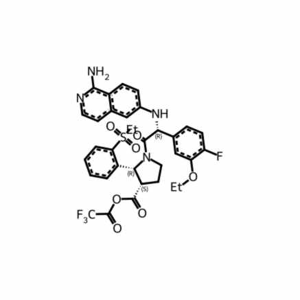 CCOc1cc([C@@H](Nc2ccc3c(N)nccc3c2)C(=O)N2CC[C@H](C(=O)OC(=O)C(F)(F)F)[C@@H]2c2ccccc2S(=O)(=O)CC)ccc1F